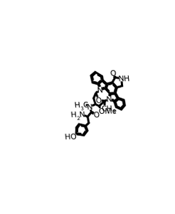 COC1C(N(C)C(=O)C(N)Cc2ccc(O)cc2)CC2OC1(C)n1c3ccccc3c3c4c(c5c6ccccc6n2c5c31)C(=O)NC4